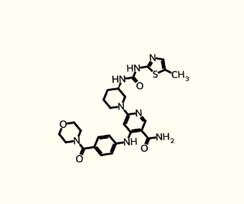 Cc1cnc(NC(=O)N[C@@H]2CCCN(c3cc(Nc4ccc(C(=O)N5CCOCC5)cc4)c(C(N)=O)cn3)C2)s1